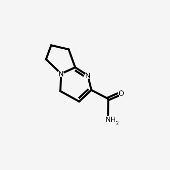 NC(=O)C1=CCN2CCCC2=N1